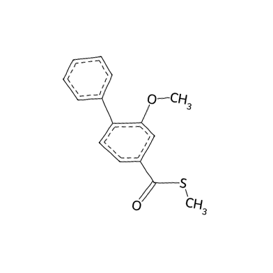 COc1cc(C(=O)SC)ccc1-c1ccccc1